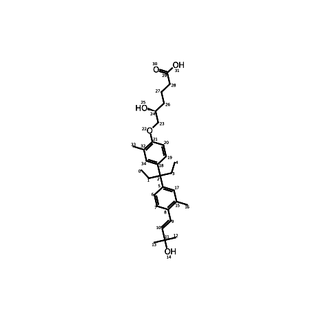 CCC(CC)(c1ccc(C=CC(C)(C)O)c(C)c1)c1ccc(OC[C@@H](O)CCCC(=O)O)c(C)c1